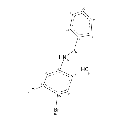 Cl.Fc1cc(NCc2ccccc2)ccc1Br